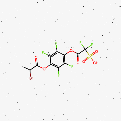 CC(Br)C(=O)Oc1c(F)c(F)c(OC(=O)C(F)(F)S(=O)(=O)O)c(F)c1F